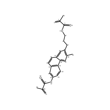 C=C(C)C(=O)OCCCc1cc2ccc3cc(OC(=O)C(=C)C)ccc3c2cc1C